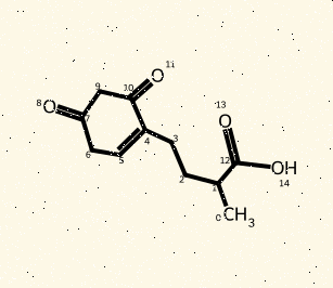 CC(CCC1=CCC(=O)CC1=O)C(=O)O